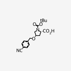 CC(C)(C)OC(=O)N1C[C@H](OCc2ccc(C#N)cc2)C[C@H]1C(=O)O